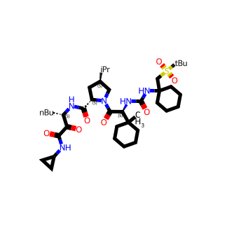 CCCC[C@H](NC(=O)[C@@H]1C[C@@H](C(C)C)CN1C(=O)[C@@H](NC(=O)NC1(CS(=O)(=O)C(C)(C)C)CCCCC1)C1(C)CCCCC1)C(=O)C(=O)NC1CC1